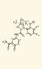 CCOc1c([C@H]2C(C(=O)NC3=C[C@H](C(N)=O)[N+](=O)C=C3)O[C@](C)(C(F)(F)F)[C@@H]2C)ccc(F)c1F